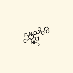 Nc1c(Cl)c(F)nc(OCC(=O)OC2CCCO2)c1Cl